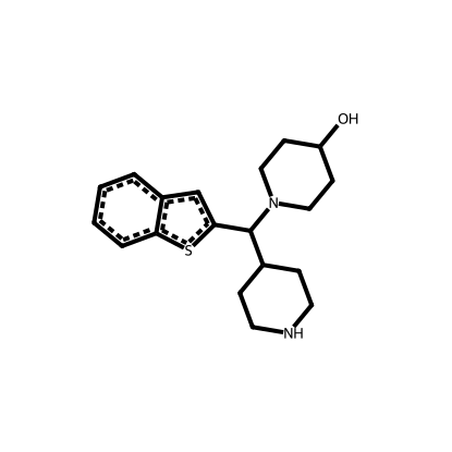 OC1CCN(C(c2cc3ccccc3s2)C2CCNCC2)CC1